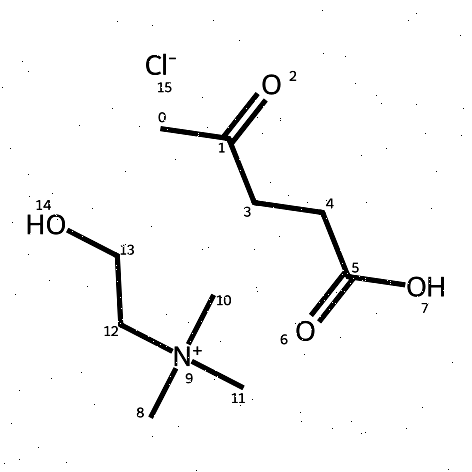 CC(=O)CCC(=O)O.C[N+](C)(C)CCO.[Cl-]